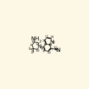 CC1(C)CC(N)CN(c2ccc(C#N)c3ncccc23)C1